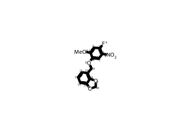 COc1cc(F)c([N+](=O)[O-])cc1OCc1cccc2c1OCO2